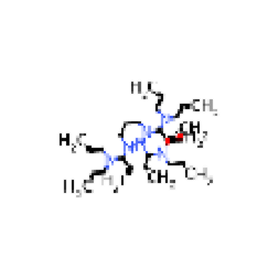 C=CCN(CC=C)C(C=C)N1CCCN(C(C=C)N(CC=C)CC=C)N1C(C=C)N(CC=C)CC=C